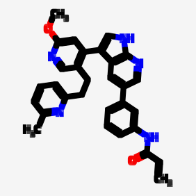 C=CC(=O)Nc1cccc(-c2cnc3[nH]cc(-c4cc(OC)ncc4CCc4cccc(C)n4)c3c2)c1